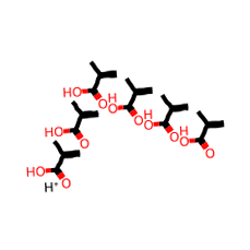 C=C(C)C(=O)O.C=C(C)C(=O)O.C=C(C)C(=O)O.C=C(C)C(=O)O.C=C(C)C(=O)O.C=C(C)C(=O)O.[H+]